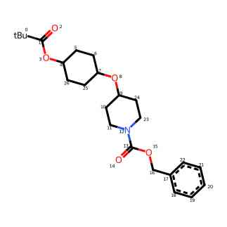 CC(C)(C)C(=O)OC1CCC(OC2CCN(C(=O)OCc3ccccc3)CC2)CC1